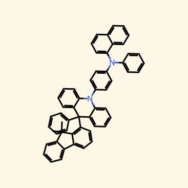 CC1(C)c2ccccc2-c2cccc(C3(c4ccccc4)c4ccccc4N(c4ccc(N(c5ccccc5)c5cccc6ccccc56)cc4)c4ccccc43)c21